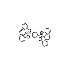 c1ccc(O[Si](Oc2ccccc2)(c2ccccc2)c2ccc([Si](Oc3ccccc3)(Oc3ccccc3)c3ccccc3)cc2)cc1